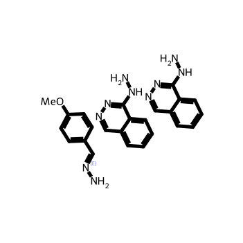 COc1ccc(/C=N/N)cc1.NNc1nncc2ccccc12.NNc1nncc2ccccc12